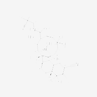 CC(=O)C[C@@H]1[C@@]2(C)C=C(C#N)C(=O)C(C)(C)[C@@H]2CC[C@@]1(C)[C@@]1(C)CCCC(C)(C)CC[C@](C)(C(=O)NCC(F)(F)F)CC1